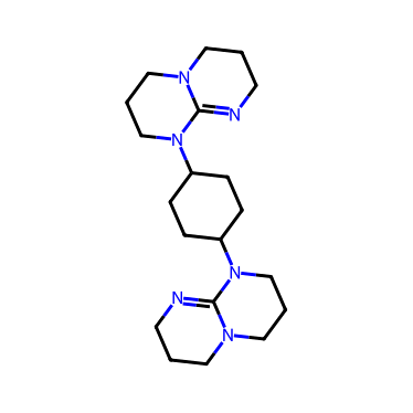 C1CN=C2N(C1)CCCN2C1CCC(N2CCCN3CCCN=C32)CC1